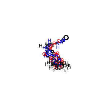 CC[C@H](C)[C@@H]([C@@H](CC(=O)N1C[C@H](ONC(=O)OCc2ccc(NC(=O)[C@H](CCCNC(N)=O)NC(=O)[C@@H](NC(=O)CCOCCNC(=O)CN3CCN(c4ccccccccc4)CC3)C(C)C)cc2)C[C@H]1[C@H](OC)[C@@H](C)C(=O)N[C@@H](Cc1ccccc1)C(=O)OCc1ccccc1)OC)N(C)C(=O)[C@@H](NC(=O)[C@H](C(C)C)N(C)C)C(C)C